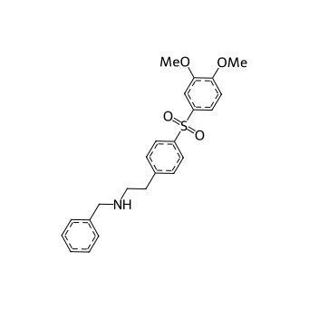 COc1ccc(S(=O)(=O)c2ccc(CCNCc3ccccc3)cc2)cc1OC